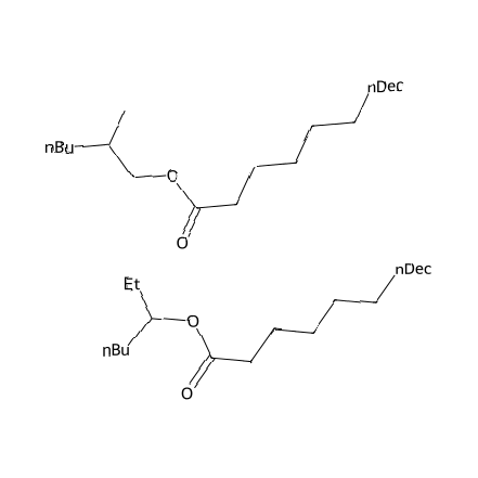 CCCCCCCCCCCCCCCC(=O)OC(CC)CCCC.CCCCCCCCCCCCCCCC(=O)OCC(C)CCCC